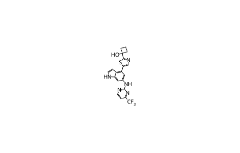 OC1(c2ncc(-c3cc(Nc4nccc(C(F)(F)F)n4)cc4[nH]ccc34)s2)CCC1